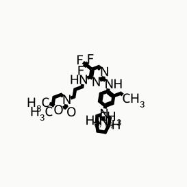 CCc1cc(N2C[C@H]3CC[C@@H](C2)N3C)ccc1Nc1ncc(C(F)(F)F)c(NCCCN2CCC(C)(C)OC2=O)n1